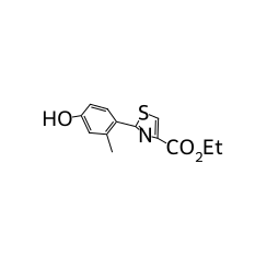 CCOC(=O)c1csc(-c2ccc(O)cc2C)n1